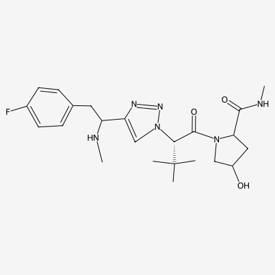 CNC(=O)C1CC(O)CN1C(=O)[C@@H](n1cc(C(Cc2ccc(F)cc2)NC)nn1)C(C)(C)C